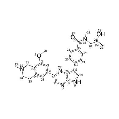 COc1cc(-c2cnc3[nH]cc(-c4ccc(C(=O)N(C)C[C@H](C)O)cc4)c3n2)cc2c1CN(C)CC2